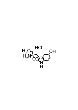 C=CC(N)(Cc1c[nH]c2ccc(O)cc12)C(=O)O.Cl